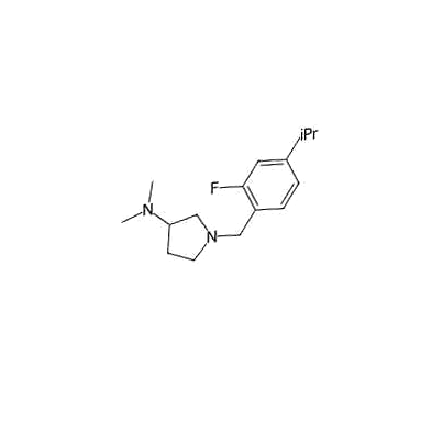 CC(C)c1ccc(CN2CCC(N(C)C)C2)c(F)c1